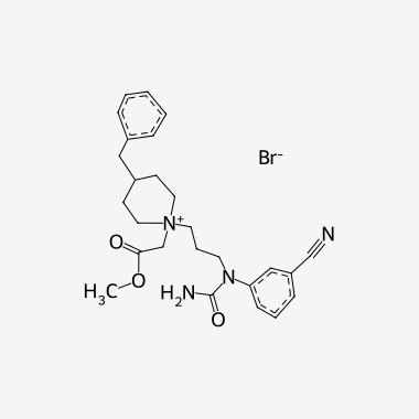 COC(=O)C[N+]1(CCCN(C(N)=O)c2cccc(C#N)c2)CCC(Cc2ccccc2)CC1.[Br-]